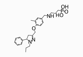 CCCN1N=C(COc2ccc(CNCCCP(=O)(O)O)cc2C)CC1c1ccccc1